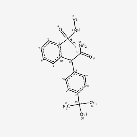 CCNS(=O)(=O)c1ccccc1C(C(N)=O)c1ccc(C(O)(C(F)(F)F)C(F)(F)F)cc1